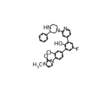 Cn1ccn(-c2ccc(-c3cc(F)cc(-c4ccnc(N5CCNC(c6ccccc6)C5)c4)c3O)cc2Cl)c1=O